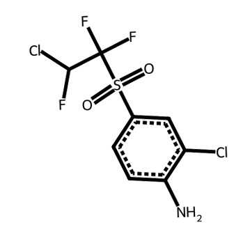 Nc1ccc(S(=O)(=O)C(F)(F)C(F)Cl)cc1Cl